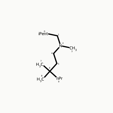 CCCC(C)CN(C)CCC(C)(C)CCC